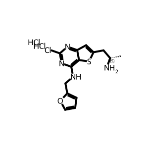 C[C@H](N)Cc1cc2nc(Cl)nc(NCc3ccco3)c2s1.Cl.Cl